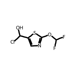 OC(Cl)c1cnc(OC(F)F)s1